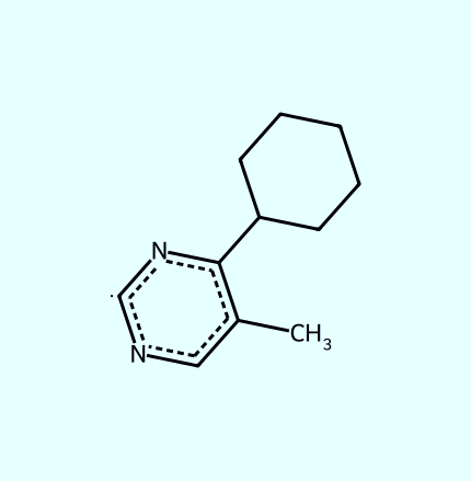 Cc1cn[c]nc1C1CCCCC1